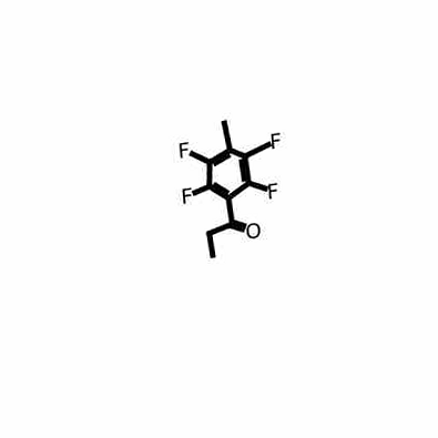 CCC(=O)c1c(F)c(F)c(C)c(F)c1F